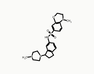 CN1CCN(C2CCc3ccc(NS(=O)(=O)c4ccc5c(c4)OCCN5C)cc32)CC1